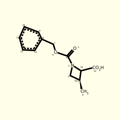 C[C@H]1CN(C(=O)OCc2ccccc2)C1C(=O)O